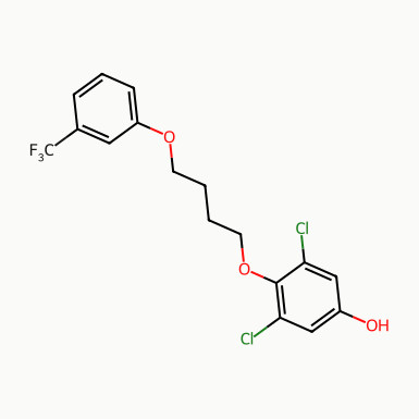 Oc1cc(Cl)c(OCCCCOc2cccc(C(F)(F)F)c2)c(Cl)c1